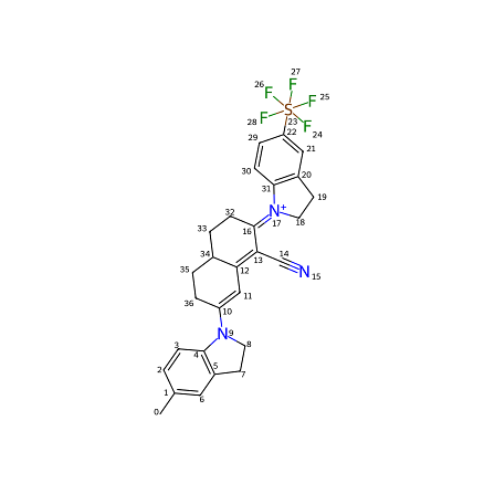 Cc1ccc2c(c1)CCN2C1=CC2=C(C#N)/C(=[N+]3\CCc4cc(S(F)(F)(F)(F)F)ccc43)CCC2CC1